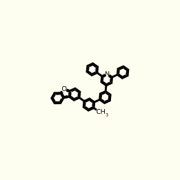 Cc1ccc(-c2ccc3oc4ccccc4c3c2)cc1-c1cccc(-c2cc(-c3ccccc3)nc(-c3ccccc3)c2)c1